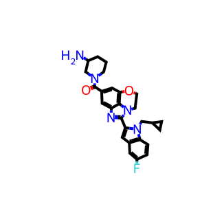 NC1CCCN(C(=O)c2cc3c4c(c2)nc(-c2cc5cc(F)ccc5n2CC2CC2)n4CCO3)C1